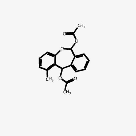 CC(=O)OC1Oc2cccc(C)c2C(OC(C)=O)c2ccccc21